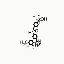 Cc1ccc(-c2nccnc2-c2ccc(NC(=O)Cc3ccc(C(F)(F)C(C)O)cc3)cc2)c(C)c1